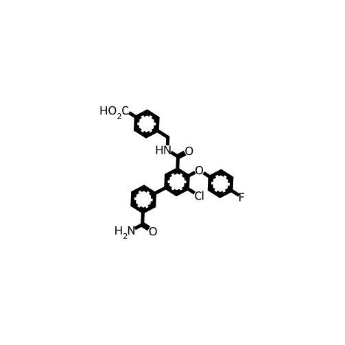 NC(=O)c1cccc(-c2cc(Cl)c(Oc3ccc(F)cc3)c(C(=O)NCc3ccc(C(=O)O)cc3)c2)c1